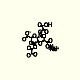 O=C([O-])C(=O)ON(CCN(OC(=O)C(=O)O)OC(=O)C(=O)O)OC(=O)C(=O)[O-].[Na+].[Na+]